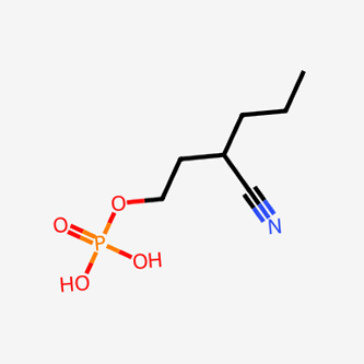 CCCC(C#N)CCOP(=O)(O)O